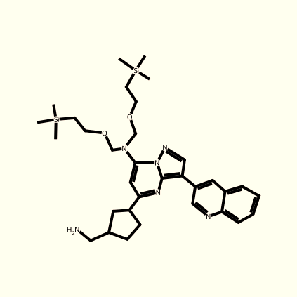 C[Si](C)(C)CCOCN(COCC[Si](C)(C)C)c1cc(C2CCC(CN)C2)nc2c(-c3cnc4ccccc4c3)cnn12